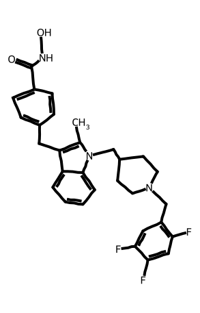 Cc1c(Cc2ccc(C(=O)NO)cc2)c2ccccc2n1CC1CCN(Cc2cc(F)c(F)cc2F)CC1